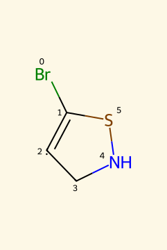 BrC1=[C]CNS1